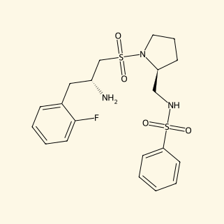 N[C@H](Cc1ccccc1F)CS(=O)(=O)N1CCC[C@H]1CNS(=O)(=O)c1ccccc1